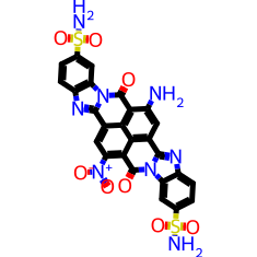 Nc1cc2c3c(c([N+](=O)[O-])cc4c3c1c(=O)n1c3cc(S(N)(=O)=O)ccc3nc41)c(=O)n1c3cc(S(N)(=O)=O)ccc3nc21